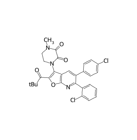 CN1CCN(c2c(C(=O)C(C)(C)C)oc3nc(-c4ccccc4Cl)c(-c4ccc(Cl)cc4)cc23)C(=O)C1=O